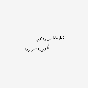 C=Cc1ccc(C(=O)OCC)nc1